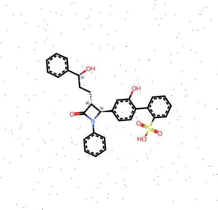 O=C1[C@H](CC[C@H](O)c2ccccc2)[C@@H](c2ccc(-c3ccccc3S(=O)(=O)O)c(O)c2)N1c1ccccc1